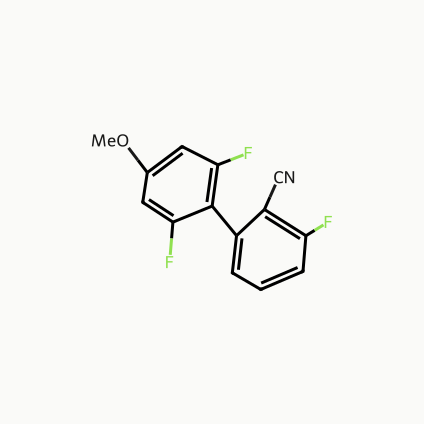 COc1cc(F)c(-c2cccc(F)c2C#N)c(F)c1